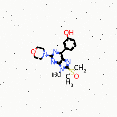 C=S(C)(=O)c1nc2c(-c3cccc(O)c3)nc(N3CCOCC3)nc2n1C(C)CC